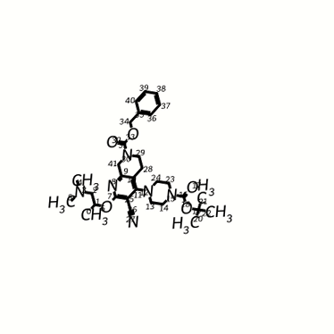 CC(CN(C)C)Oc1nc2c(c(N3CCN(C(=O)OC(C)(C)C)CC3)c1C#N)CCN(C(=O)OCc1ccccc1)C2